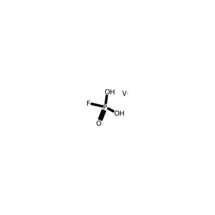 O=P(O)(O)F.[V]